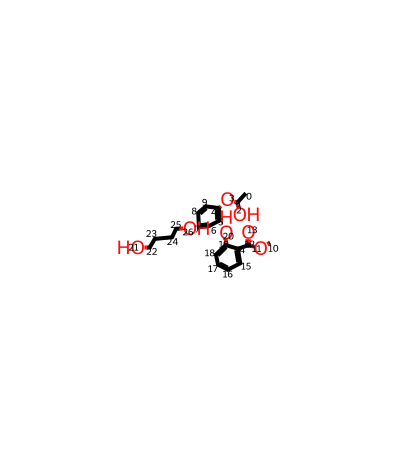 CC(O)Oc1ccccc1.COC(=O)c1ccccc1O.OCCCCO